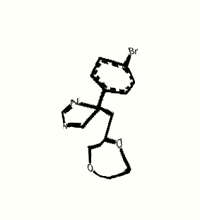 Brc1ccc(C2(CC3COCCO3)C=NC=N2)cc1